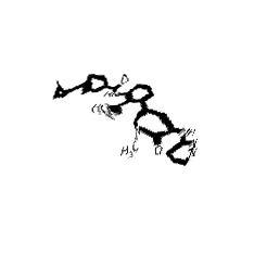 Cn1cc(-c2cccc(NC(=O)c3ccc(C4CC4)cc3)c2CO)cc(Nc2cccnn2)c1=O